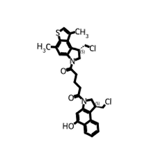 Cc1cc2c(c3c(C)csc13)[C@H](CCl)CN2C(=O)CCCC(=O)N1C[C@@H](CCl)c2c1cc(O)c1ccccc21